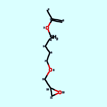 C=C(C)O[SiH2]CCCOCC1CO1